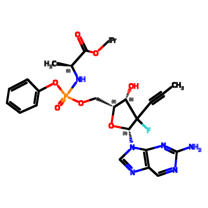 CC#CC1(F)[C@@H](O)[C@@H](COP(=O)(N[C@@H](C)C(=O)OC(C)C)Oc2ccccc2)O[C@H]1n1cnc2cnc(N)nc21